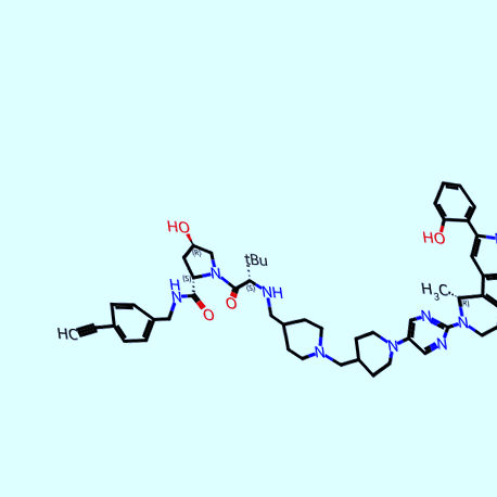 C#Cc1ccc(CNC(=O)[C@@H]2C[C@@H](O)CN2C(=O)[C@@H](NCC2CCN(CC3CCN(c4cnc(N5CCc6[nH]c7nnc(-c8ccccc8O)cc7c6[C@H]5C)nc4)CC3)CC2)C(C)(C)C)cc1